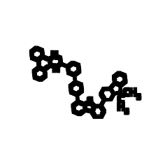 CC1(C)c2ccccc2C2=CC=C(c3cccc4c3sc3c(-c5ccc(-c6cccc(-c7cnc8c9ccccc9c9ccccc9c8n7)c6)cc5)cccc34)CC21